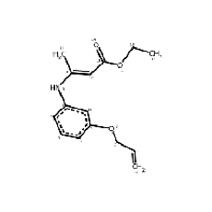 C=CCOc1cccc(NC(C)=CC(=O)OCC)c1